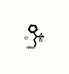 CCCCCCCCCCCC(c1ccccc1)[N+](C)(C)CC.[Cl-]